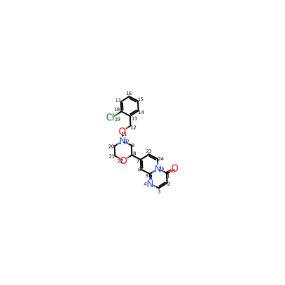 O=c1ccnc2cc(C3CN(OCc4ccccc4Cl)CCO3)ccn12